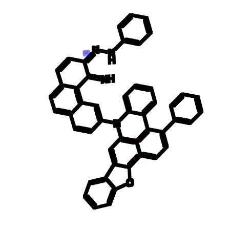 N=C1/C(=N\Nc2ccccc2)C=Cc2ccc3ccc(N(c4ccc5oc6ccccc6c5c4)c4ccccc4-c4ccccc4-c4ccccc4)cc3c21